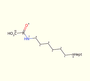 CCCCCCCCCCCCCNC(=O)C(=O)O